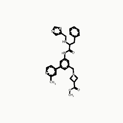 COC(=O)C1CN(Cc2cc(NC(=O)C(Cc3ccccc3)NCc3cscn3)cc(-c3ccnc(C)c3)c2)C1